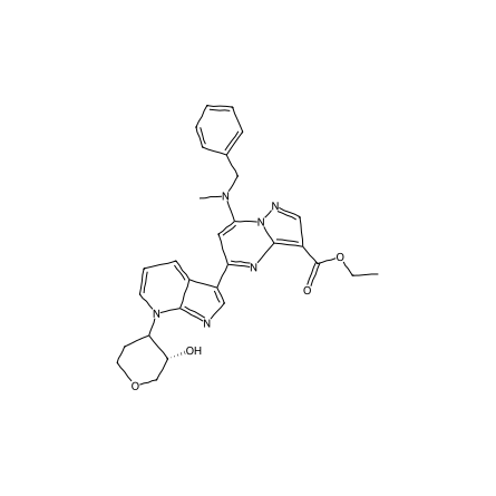 CCOC(=O)c1cnn2c(N(C)Cc3ccccc3)cc(-c3cnc4n(C5CCOC[C@H]5O)cccc3-4)nc12